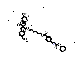 Nc1ccc(CC(Cc2ccc(N)cc2)(C(=O)O)C(=O)OCCCCCCOC(=O)c2ccc(/C=C/C(=O)OC3CCCCC3)cc2)cc1